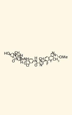 COCCn1ncc(-c2ccc(-c3cnc(C(=O)Nc4ccc(C(=O)N[C@H]5[C@@H]6CN(C(=O)[C@@H]7C[C@@H](O)C[N+]7(C)C)C[C@@H]65)c(Cl)c4)n3C)c(F)c2F)c1C